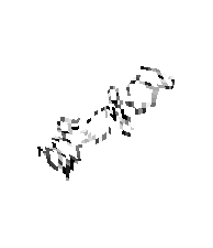 O=S(=O)(c1ccc2c(c1)CCO2)N1CCC(c2cn3ncnc3cc2C(F)(F)F)CC1